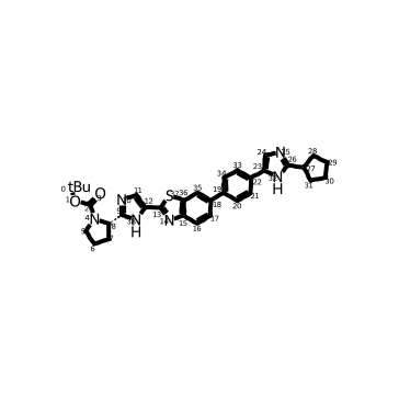 CC(C)(C)OC(=O)N1CCC[C@H]1c1ncc(-c2nc3ccc(-c4ccc(-c5cnc(C6CCCC6)[nH]5)cc4)cc3s2)[nH]1